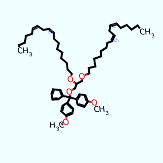 CCCCC/C=C\C/C=C\CCCCCCCCOCC(COC(c1ccccc1)(c1ccc(OC)cc1)c1ccc(OC)cc1)OCCCCCCCC/C=C\C/C=C\CCCCC